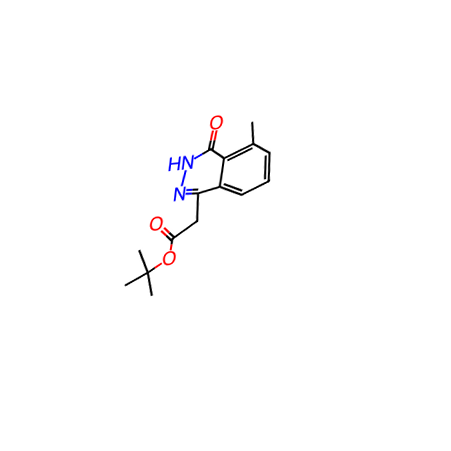 Cc1cccc2c(CC(=O)OC(C)(C)C)n[nH]c(=O)c12